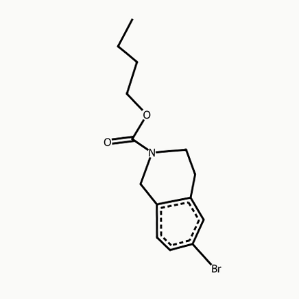 CCCCOC(=O)N1CCc2cc(Br)ccc2C1